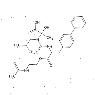 CC(=O)NCCOC(=O)C(Cc1ccc(-c2ccccc2)cc1)NC(=O)N(CC(C)C)C(C)(O)C(=O)O